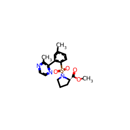 COC(=O)[C@@H]1CCCN1S(=O)(=O)c1ccc(C)cc1-c1nccnc1C